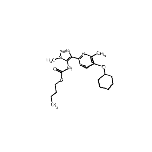 CCCCOC(=O)Nc1c(-c2ccc(OC3CCCCC3)c(C)n2)nnn1C